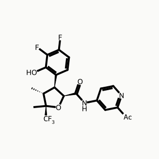 CC(=O)c1cc(NC(=O)[C@H]2O[C@@](C)(C(F)(F)F)[C@H](C)[C@H]2c2ccc(F)c(F)c2O)ccn1